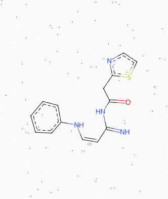 N=C(/C=C\Nc1ccccc1)NC(=O)Cc1nccs1